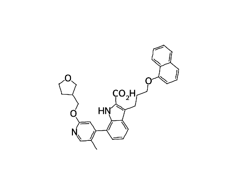 Cc1cnc(OCC2CCOC2)cc1-c1cccc2c(CCCOc3cccc4ccccc34)c(C(=O)O)[nH]c12